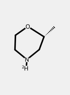 [2H]N1CCO[C@H](C)C1